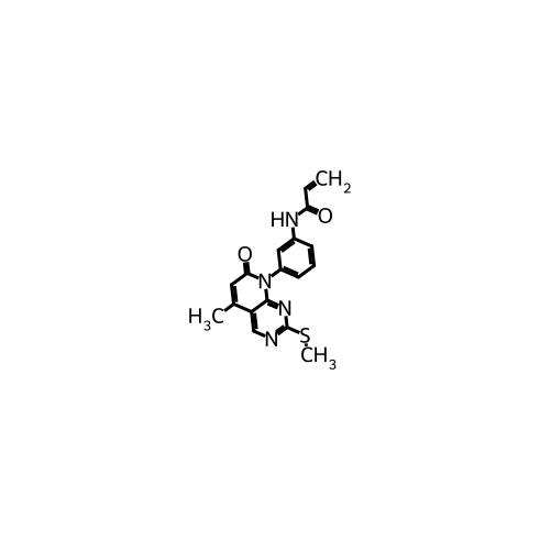 C=CC(=O)Nc1cccc(-n2c(=O)cc(C)c3cnc(SC)nc32)c1